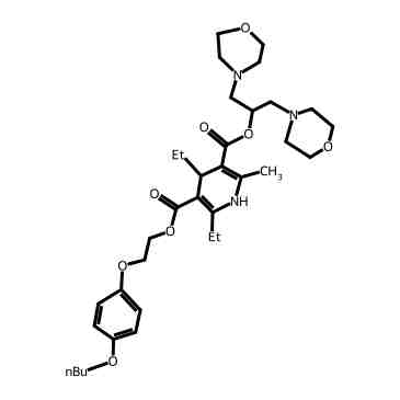 CCCCOc1ccc(OCCOC(=O)C2=C(CC)NC(C)=C(C(=O)OC(CN3CCOCC3)CN3CCOCC3)C2CC)cc1